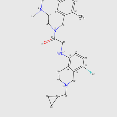 CN(C)CCN(Cc1ccccc1C(F)(F)F)C(=O)CNc1ccc(F)c2c1CCN(CC1CC1)C2